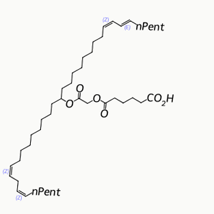 CCCCC/C=C\C/C=C\CCCCCCCCC(CCCCCCCC/C=C\C=C\CCCCC)OC(=O)COC(=O)CCCCC(=O)O